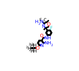 [2H]C([2H])([2H])C([2H])([2H])Oc1ccc(C(=O)Nc2ccc(F)c(C3(C)COC(C)(C(F)(F)F)C(N)=N3)c2)c(N)n1